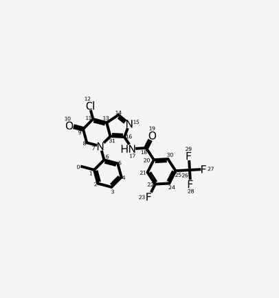 Cc1ccccc1N1CC(=O)C(Cl)=C2C=NC(NC(=O)c3cc(F)cc(C(F)(F)F)c3)=C21